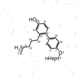 CCCCCCCOc1ccc(-c2ccc(O)cc2CCC[SiH2]I)cc1